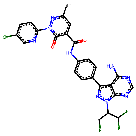 CC(C)c1cc(C(=O)Nc2ccc(-c3nn(C(CF)C(F)F)c4ncnc(N)c34)cc2)c(=O)n(-c2ccc(Cl)cn2)n1